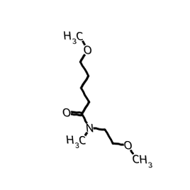 COCCCCC(=O)N(C)CCOC